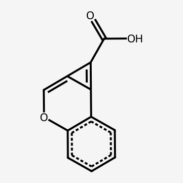 O=C(O)C1=C2C1=COc1ccccc12